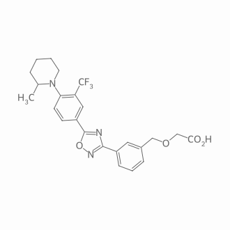 CC1CCCCN1c1ccc(-c2nc(-c3cccc(COCC(=O)O)c3)no2)cc1C(F)(F)F